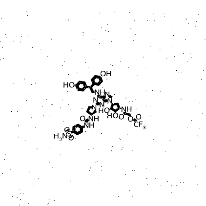 NS(=O)(=O)c1ccc(NC(=O)N[C@@H]2CCN(c3nc(NCC(c4ccc(O)cc4)c4ccc(O)cc4)c4ncn([C@@H]5C[C@H](NC(=O)COC(=O)C(F)(F)F)[C@@H](O)[C@H]5O)c4n3)C2)cc1